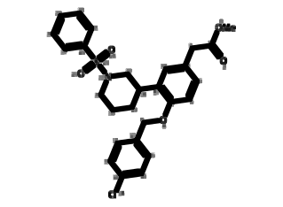 COC(=O)Cc1ccc(OCc2ccc(Cl)cc2)c(C2CCCN(S(=O)(=O)c3ccccc3)C2)c1